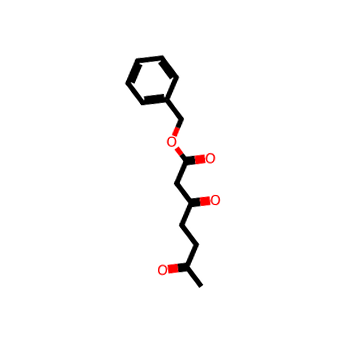 CC(=O)CCC(=O)CC(=O)OCc1ccccc1